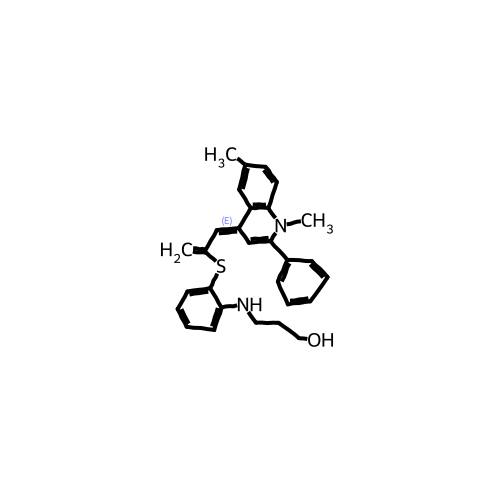 C=C(/C=C1\C=C(c2ccccc2)N(C)c2ccc(C)cc21)Sc1ccccc1NCCCO